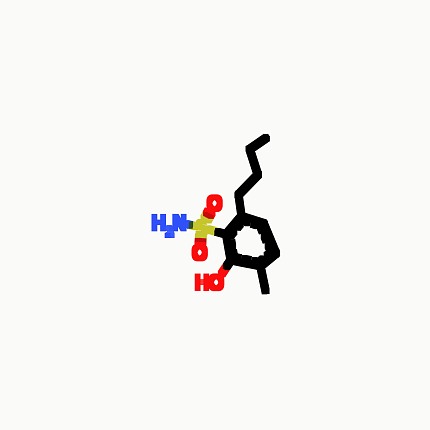 CCCCc1ccc(C)c(O)c1S(N)(=O)=O